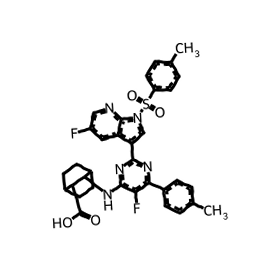 Cc1ccc(-c2nc(-c3cn(S(=O)(=O)c4ccc(C)cc4)c4ncc(F)cc34)nc(NC3C4CCC(CC4)C3C(=O)O)c2F)cc1